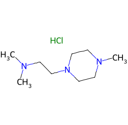 CN(C)CCN1CCN(C)CC1.Cl